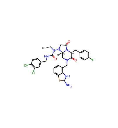 N#CCN(C(=O)NCc1ccc(Cl)c(Cl)c1)N1CC(=O)N2[C@@H](Cc3ccc(F)cc3)C(=O)N(Cc3cccc4c3NC(N)S4)C[C@@H]21